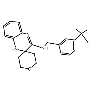 CC(C)(C)c1cccc(CNC2=Nc3ccccc3NC23CCOCC3)c1